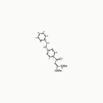 CSC(=CC(=O)c1ccc(OCc2ccccc2)cc1)SC